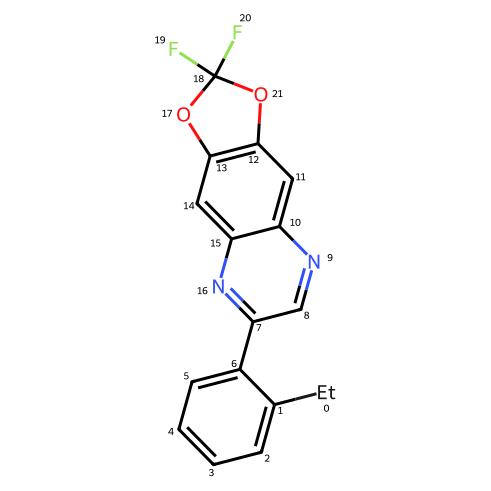 CCc1ccccc1-c1cnc2cc3c(cc2n1)OC(F)(F)O3